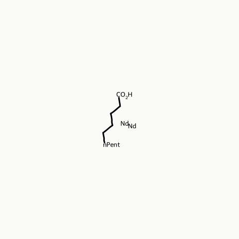 CCCCCCCCCC(=O)O.[Nd].[Nd]